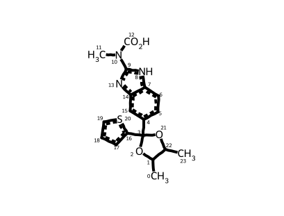 CC1OC(c2ccc3[nH]c(N(C)C(=O)O)nc3c2)(c2cccs2)OC1C